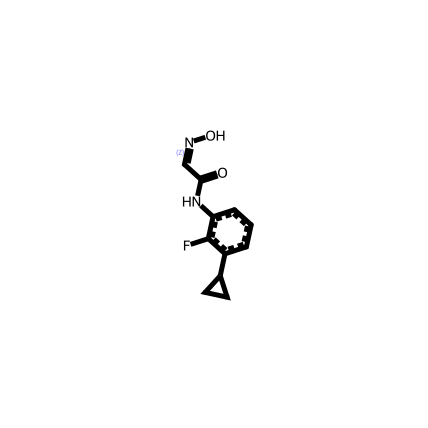 O=C(/C=N\O)Nc1cccc(C2CC2)c1F